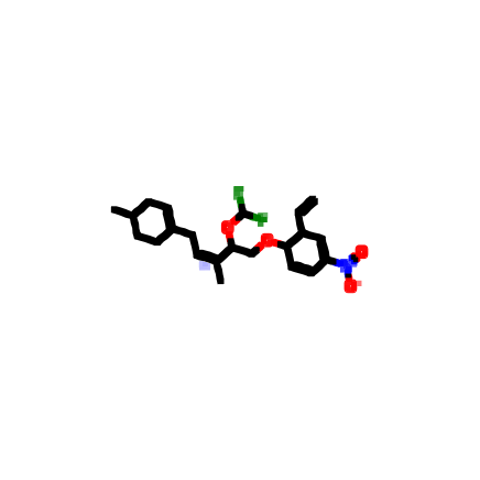 C=CC1C=C([N+](=O)[O-])C=CC1OCC(OC(F)F)/C(C)=C\CC1=CCC(C)CC1